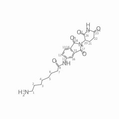 NCCCCCCCC(=O)Nc1ccc2c(c1)C(=O)N(C1CCC(=O)NC1=O)C2=O